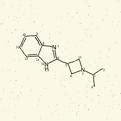 CC(C)N1CC(c2nc3ccccc3[nH]2)C1